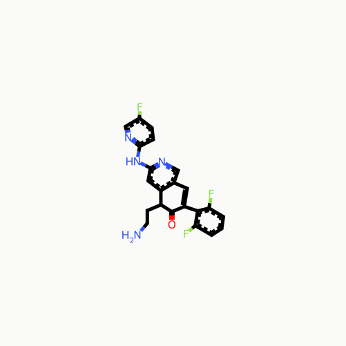 NCCC1C(=O)C(c2c(F)cccc2F)=Cc2cnc(Nc3ccc(F)cn3)cc21